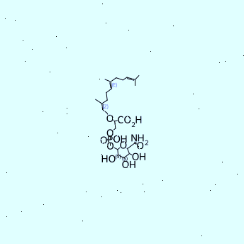 CC(C)=CCC/C(C)=C/CC/C(C)=C\COC(COP(=O)(O)OC1OC(C(N)=O)C(O)[C@H](O)[C@@H]1O)C(=O)O